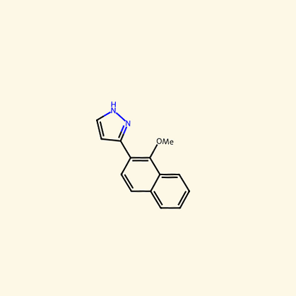 COc1c(-c2cc[nH]n2)ccc2ccccc12